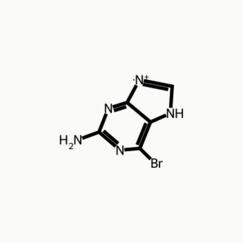 Nc1nc(Br)c2c(n1)[N+]=CN2